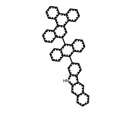 c1ccc2cc3c(cc2c1)[nH]c1cc(-c2c4ccccc4c(-c4cc5c6ccccc6c6ccccc6c5c5ccccc45)c4ccccc24)ccc13